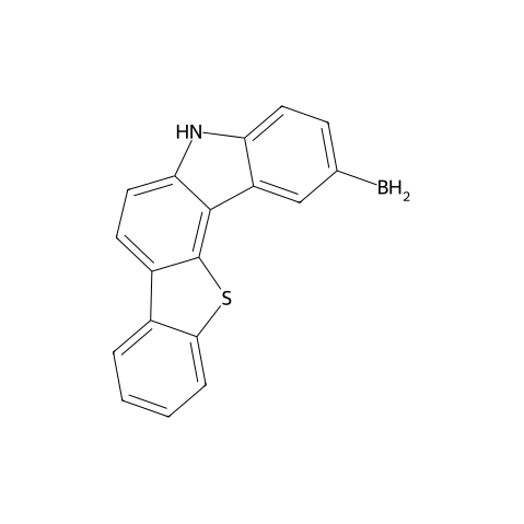 Bc1ccc2[nH]c3ccc4c5ccccc5sc4c3c2c1